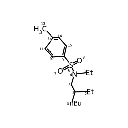 CCCCC(CC)CN(CC)S(=O)(=O)c1ccc(C)cc1